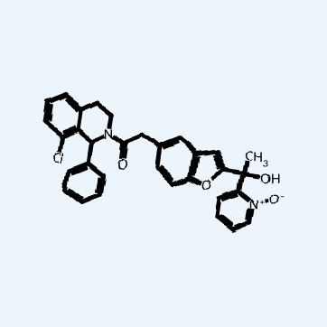 CC(O)(c1cc2cc(CC(=O)N3CCc4cccc(Cl)c4C3c3ccccc3)ccc2o1)c1cccc[n+]1[O-]